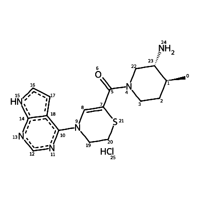 C[C@H]1CCN(C(=O)C2=CN(c3ncnc4[nH]ccc34)CCS2)C[C@@H]1N.Cl